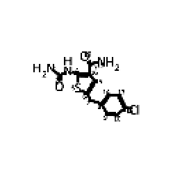 NC(=O)Nc1sc(Cc2ccc(Cl)cc2)cc1C(N)=O